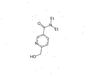 CCN(CC)C(=O)c1ccc(CO)nc1